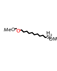 COCOCCCCCCCCCC[SiH2]OC